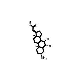 COC(=O)/C=C1\CCC2C3C(CC[C@]12C)[C@@]1(C)CC[C@@H](N)CC1[C@@H](O)[C@@H]3O